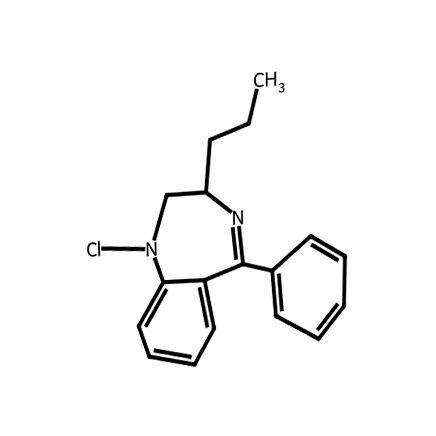 CCCC1CN(Cl)c2ccccc2C(c2ccccc2)=N1